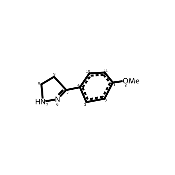 COc1ccc(C2=NNCC2)cc1